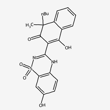 CCCCC1(C)C(=O)C(C2=NS(=O)(=O)c3cc(O)ccc3N2)=C(O)c2ccccc21